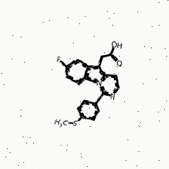 CSc1ccc(-c2nccc3c(CC(=O)O)c4cc(F)ccc4n23)cc1